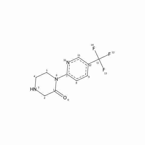 O=C1CNCCN1c1ccc(C(F)(F)F)cn1